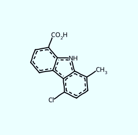 Cc1ccc(Cl)c2c1[nH]c1c(C(=O)O)cccc12